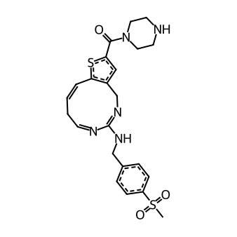 CS(=O)(=O)c1ccc(CNC2=N/Cc3cc(C(=O)N4CCNCC4)sc3/C=C\C/C=N\2)cc1